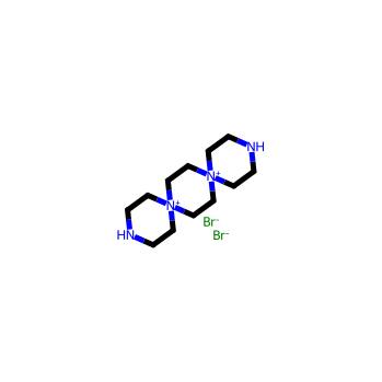 C1C[N+]2(CCN1)CC[N+]1(CCNCC1)CC2.[Br-].[Br-]